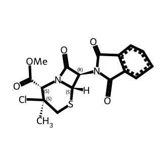 COC(=O)[C@@H]1N2C(=O)[C@@H](N3C(=O)c4ccccc4C3=O)[C@@H]2SC[C@@]1(C)Cl